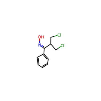 ON=C(c1ccccc1)C(CCl)CCl